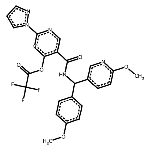 COc1ccc(C(NC(=O)c2cnc(-n3cccn3)nc2OC(=O)C(F)(F)F)c2ccc(OC)nc2)cc1